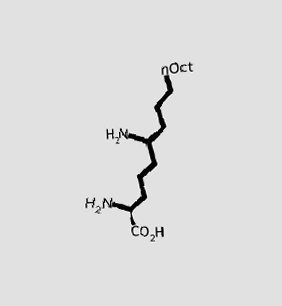 CCCCCCCCCCCC(N)CCC[C@H](N)C(=O)O